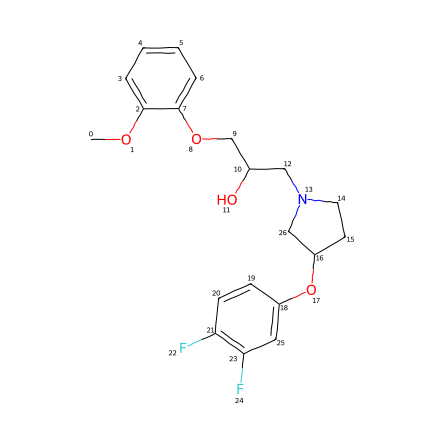 COc1ccccc1OCC(O)CN1CCC(Oc2ccc(F)c(F)c2)C1